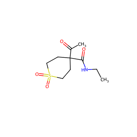 CCNC(=O)C1(C(C)=O)CCS(=O)(=O)CC1